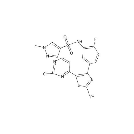 CC(C)c1nc(-c2ccc(F)c(NS(=O)(=O)c3cnn(C)c3)c2)c(-c2ccnc(Cl)n2)s1